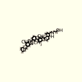 Cc1c(Nc2nccc3cc(CNCCO)cnc23)cccc1-c1cccc(-c2nc3cc(CN4CCCCC4)cc(Cl)c3o2)c1C